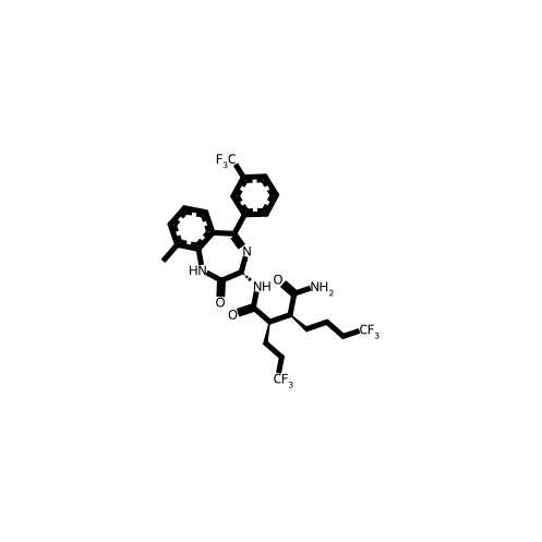 Cc1cccc2c1NC(=O)[C@@H](NC(=O)[C@H](CCC(F)(F)F)[C@H](CCCC(F)(F)F)C(N)=O)N=C2c1cccc(C(F)(F)F)c1